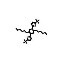 CCCCCCc1cc(-c2ccc(C(C)(C)C)s2)c(CCCCCC)cc1-c1ccc(C(C)(C)C)s1